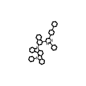 c1ccc(-c2ccc(-c3cc(-c4cc(-n5c6ccccc6c6c5ccc5c7ccccc7n(-c7ccccc7)c56)cc5ccccc45)nc(-c4ccccc4)n3)cc2)cc1